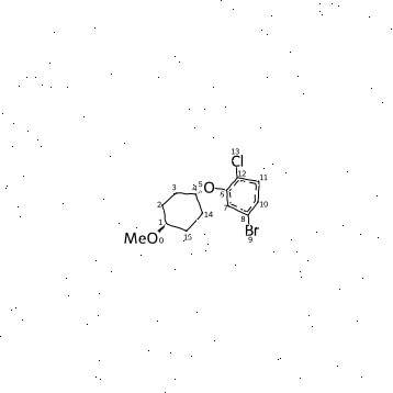 CO[C@H]1CC[C@H](Oc2cc(Br)ccc2Cl)CC1